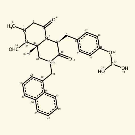 CN1CC(=O)N2[C@@H](Cc3ccc(OP(O)O)cc3)C(=O)N(Cc3cccc4ccccc34)C[C@@H]2N1C=O